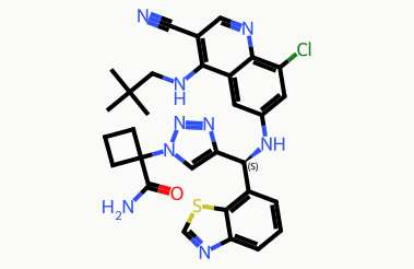 CC(C)(C)CNc1c(C#N)cnc2c(Cl)cc(N[C@H](c3cn(C4(C(N)=O)CCC4)nn3)c3cccc4ncsc34)cc12